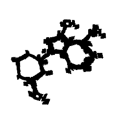 Cc1nn([C@@H]2CCCN(C)C2)c2ncnc(N)c12